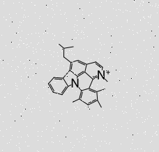 Cc1cc(C)c2c(c1C)c1c3c(cc[n+]1C)cc(CC(C)C)c1c4ccccc4n2c13